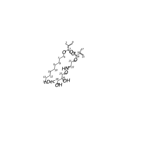 C=C(C)C(=O)OCCCCCCCCCCCCCCCCCC.C=C(C)C(=O)OCCNOCC(O)CO